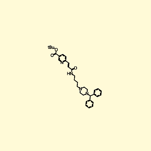 CC(C)(C)OC(=O)c1ccc(/C=C/C(=O)NCCCCN2CCN(C(c3ccccc3)c3ccccc3)CC2)nc1